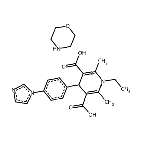 C1COCCN1.CCN1C(C)=C(C(=O)O)C(c2ccc(-n3ccnc3)cc2)C(C(=O)O)=C1C